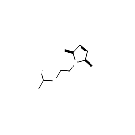 CC(O)OCCN1C(=O)C=CC1=O